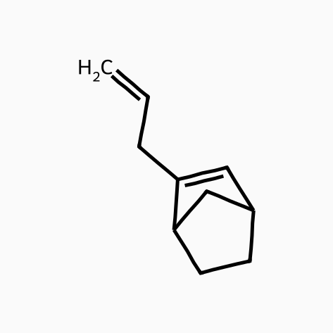 C=CCC1=CC2CCC1C2